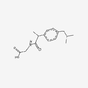 CC(C)Cc1ccc(C(C)C(=O)NCC(=O)O)cc1